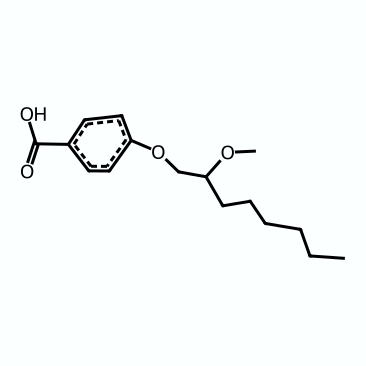 CCCCCCC(COc1ccc(C(=O)O)cc1)OC